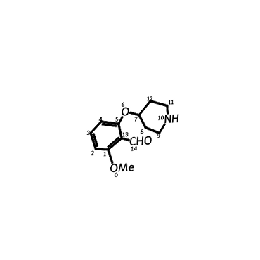 COc1cccc(OC2CCNCC2)c1C=O